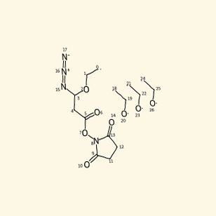 [CH2]COC(CC(=O)ON1C(=O)CCC1=O)N=[N+]=[N-].[CH2]C[O].[CH2]C[O].[CH2]C[O]